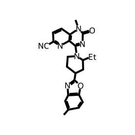 CCC1CC(c2nc3cc(C)ccc3o2)CCN1c1nc(=O)n(C)c2ccc(C#N)nc12